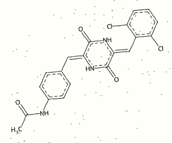 CC(=O)Nc1ccc(C=c2[nH]c(=O)c(=Cc3c(Cl)cccc3Cl)[nH]c2=O)cc1